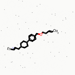 CC=CCCOCc1ccc(C2CCC(C/C=C/CC)CC2)cc1